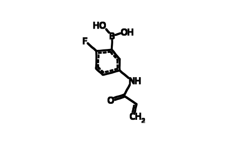 C=CC(=O)Nc1ccc(F)c(B(O)O)c1